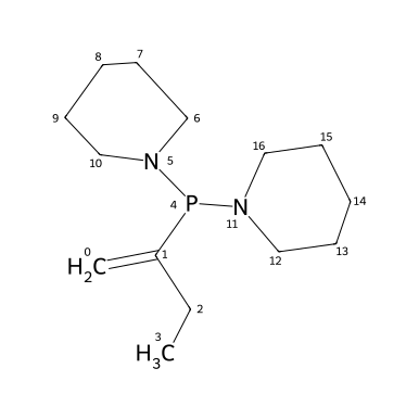 C=C(CC)P(N1CCCCC1)N1CCCCC1